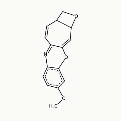 COc1ccc2c(c1)OC1=CC3OCC3C=CC1=N2